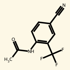 CC(=O)Nc1ccc(C#N)cc1C(F)(F)F